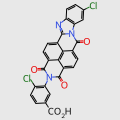 O=C(O)c1ccc(Cl)c(N2C(=O)c3ccc4c(=O)n5c6cc(Cl)ccc6nc5c5ccc(c3c45)C2=O)c1